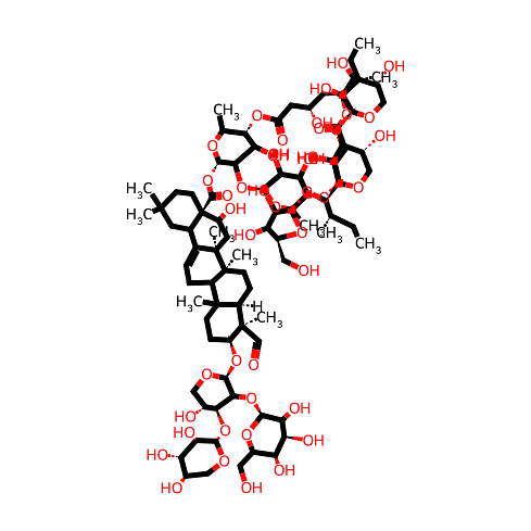 CC[C@H](C)[C@H](C[C@H](O)CC(=O)O[C@H]1C(C)O[C@@H](OC(=O)[C@]23CCC(C)(C)CC2C2=CCC4C5(C)CC[C@H](O[C@@H]6OC[C@@H](O)[C@H](O[C@@H]7OC[C@@H](O)[C@H](O)C7O)C6O[C@@H]6OC(CO)[C@H](O)[C@H](O)C6O)[C@](C)(C=O)[C@@H]5CC[C@]4(C)[C@]2(C)CC3O)C(O[C@@H]2OC(C)[C@H](O[C@@H]3OC[C@@H](O)C(O[C@@H]4OC[C@@H](O)C(O)C4O)C3O)C(O)C2O)C1O)OC(=O)C[C@@H](O)C[C@H](O[C@@H]1O[C@@H](CO)C(O)C1O)[C@@H](C)CC